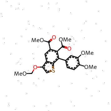 COCOc1csc2c(-c3ccc(OC)c(OC)c3)c(C(=O)OC)c(C(=O)OC)cc12